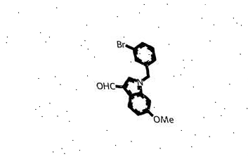 COc1ccc2c(C=O)cn(Cc3cccc(Br)c3)c2c1